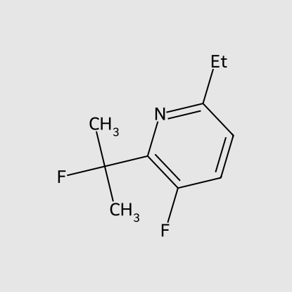 CCc1ccc(F)c(C(C)(C)F)n1